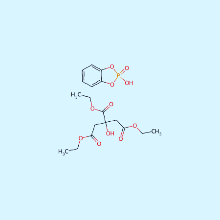 CCOC(=O)CC(O)(CC(=O)OCC)C(=O)OCC.O=P1(O)Oc2ccccc2O1